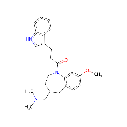 COc1ccc2c(c1)N(C(=O)CCc1c[nH]c3ccccc13)CCC(CN(C)C)C2